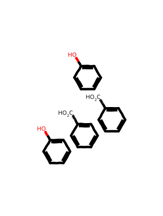 O=C(O)c1ccccc1.O=C(O)c1ccccc1.Oc1ccccc1.Oc1ccccc1